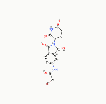 O=C1CCC(N2C(=O)c3ccc(NC(=O)CBr)cc3C2=O)C(=O)N1